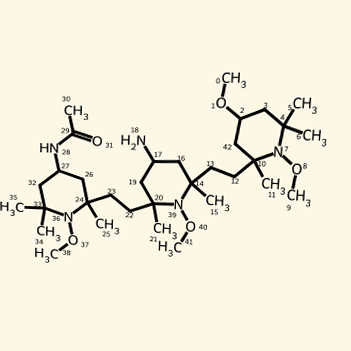 COC1CC(C)(C)N(OC)C(C)(CCC2(C)CC(N)CC(C)(CCC3(C)CC(NC(C)=O)CC(C)(C)N3OC)N2OC)C1